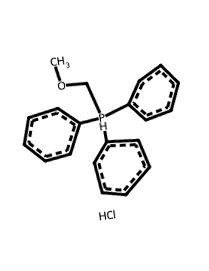 COC[PH](c1ccccc1)(c1ccccc1)c1ccccc1.Cl